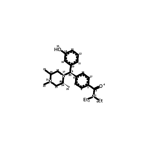 CCN(CC)C(=O)c1ccc([C@H](c2cccc(O)c2)N2CC(C)N(C)C[C@H]2C)cc1